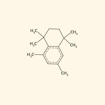 Cc1cc(C)c2c(c1)C(C)(C)CCC2(C)C